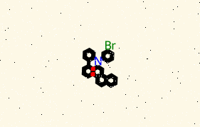 Brc1cccc(N(c2ccc3ccc4ccccc4c3c2)c2ccccc2-c2ccccc2)c1